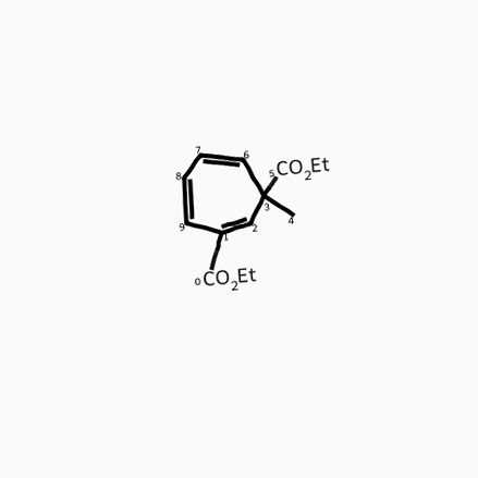 CCOC(=O)C1=CC(C)(C(=O)OCC)C=CC=C1